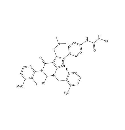 CCNC(=O)Nc1ccc(-n2nc3c(c2CN(C)C)C(=O)N(c2cccc(OC)c2F)C(O)N3Cc2c(F)cccc2C(F)(F)F)cc1